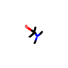 [CH2]C(C)([O])N(C)C